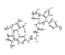 Cc1sc2c(c1C)C(c1ccc(Cl)cc1)=N[C@@H](CC(=O)NC[C@H](C)NCc1ccc(-n3c(O)nnc3-c3cc(C(C)C)c(O)cc3O)cc1)c1nnc(C)n1-2